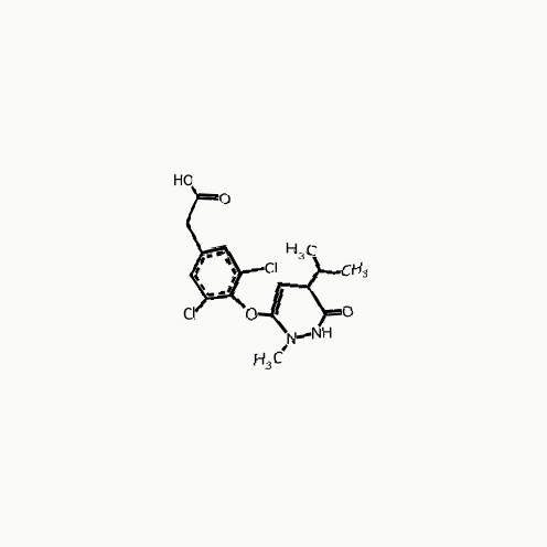 CC(C)C1C=C(Oc2c(Cl)cc(CC(=O)O)cc2Cl)N(C)NC1=O